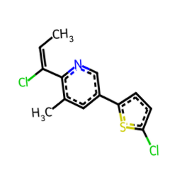 C/C=C(/Cl)c1ncc(-c2ccc(Cl)s2)cc1C